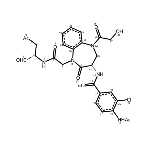 CC(=O)C[C@@H](C=O)NC(=O)CN1C(=O)[C@@H](NC(=O)c2ccc(NC(C)=O)c(Cl)c2)CN(C(=O)CO)c2ccccc21